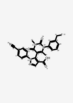 Cc1c(-c2c(C(=O)O)cnn2-c2ccc(C#N)cc2)c(=O)n(C)c(=O)n1-c1cccc(CF)c1